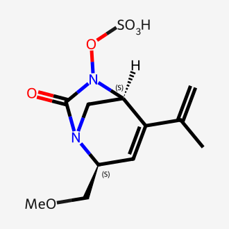 C=C(C)C1=C[C@@H](COC)N2C[C@H]1N(OS(=O)(=O)O)C2=O